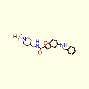 CN1CCC(CNC(=O)c2cc3cc(NCc4ccccc4)ccc3o2)CC1